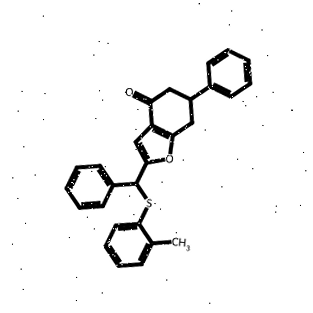 Cc1ccccc1SC(c1ccccc1)c1cc2c(o1)CC(c1ccccc1)CC2=O